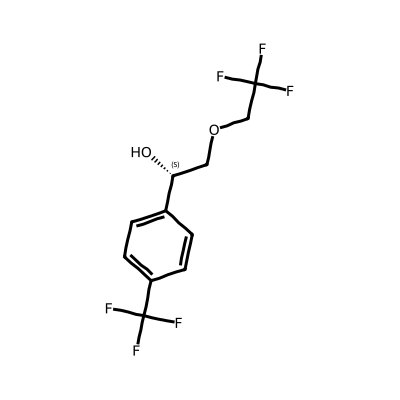 O[C@H](COCC(F)(F)F)c1ccc(C(F)(F)F)cc1